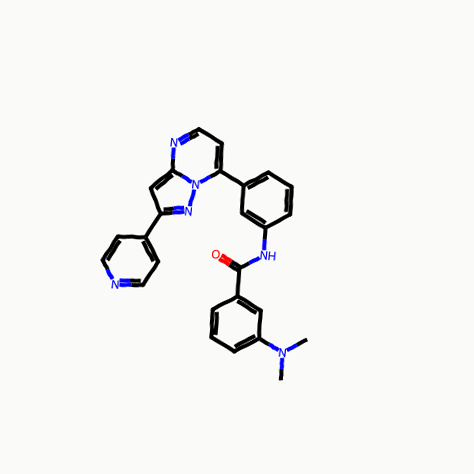 CN(C)c1cccc(C(=O)Nc2cccc(-c3ccnc4cc(-c5ccncc5)nn34)c2)c1